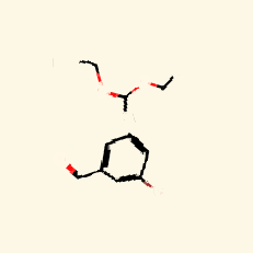 CCOC(C)OCC.O=Cc1cccc(Br)c1